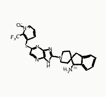 N[C@@H]1c2ccccc2CC12CCN(c1nc3nc(Sc4ccc[n+]([O-])c4C(F)(F)F)cnc3[nH]1)CC2